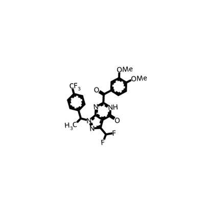 COc1ccc(C(=O)c2nc3c(c(C(F)F)nn3C(C)c3ccc(C(F)(F)F)cc3)c(=O)[nH]2)cc1OC